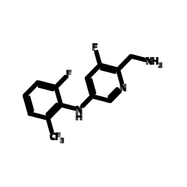 NCc1ncc(Nc2c(F)cccc2C(F)(F)F)cc1F